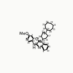 COc1ccc(Nc2nc3ccccc3n(C3CCN(C4CCCCCCC4)CC3)c2=O)cn1